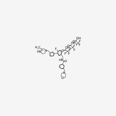 C[C@H]1CN(Cc2cccc(-c3cc(CNC(=O)c4cccc(CN5CCOCC5)c4)ccc3F)c2)CCN1.O=C(O)C(F)(F)F.O=C(O)C(F)(F)F.O=C(O)C(F)(F)F